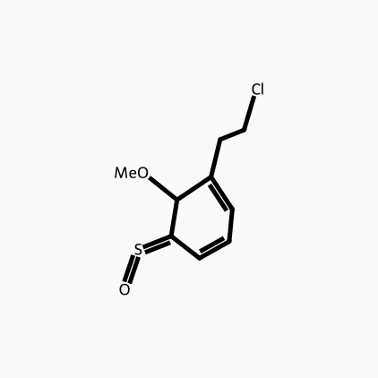 COC1C(CCCl)=CC=CC1=S=O